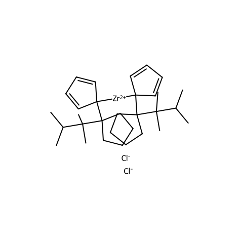 CC(C)C(C)(C)C1([C]2([Zr+2][C]3(C4(C(C)(C)C(C)C)CCCC4)C=CC=C3)C=CC=C2)CCCC1.[Cl-].[Cl-]